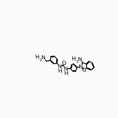 NCc1cccc(NC(=O)Nc2ccc(N3Oc4ccccc4C3N)cc2)c1